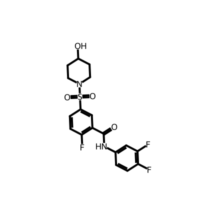 O=C(Nc1ccc(F)c(F)c1)c1cc(S(=O)(=O)N2CCC(O)CC2)ccc1F